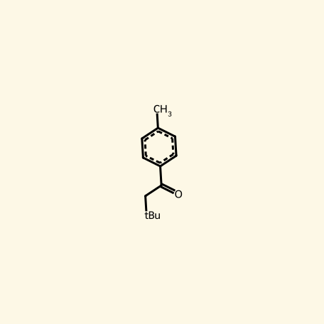 Cc1ccc(C(=O)CC(C)(C)C)cc1